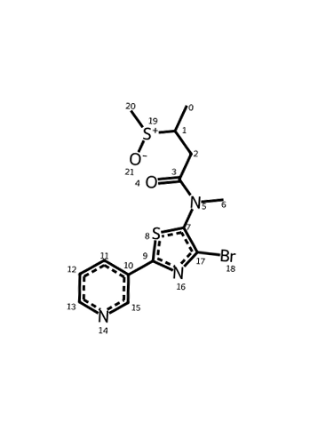 CC(CC(=O)N(C)c1sc(-c2cccnc2)nc1Br)[S+](C)[O-]